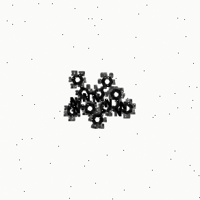 c1ccc(-c2cc(-c3cc(-c4ccccc4)cc(-c4nc5ccccn5c4-c4ccccc4)n3)nc(-c3cc(-c4ccccc4)cc(-c4nc5ccccn5c4-c4ccccc4)n3)c2)cc1